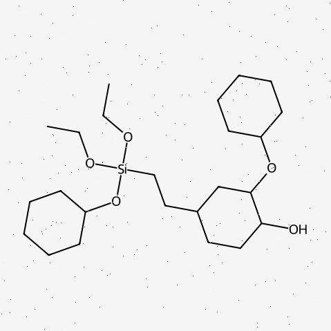 CCO[Si](CCC1CCC(O)C(OC2CCCCC2)C1)(OCC)OC1CCCCC1